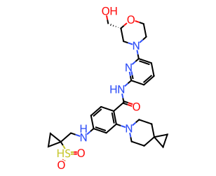 O=C(Nc1cccc(N2CCO[C@@H](CO)C2)n1)c1ccc(NCC2([SH](=O)=O)CC2)cc1N1CCC2(CC1)CC2